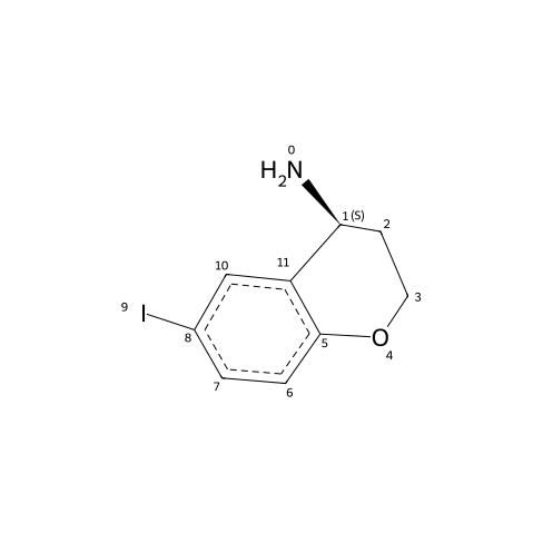 N[C@H]1CCOc2ccc(I)cc21